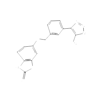 N#Cc1[nH]nnc1-c1cccc(COc2ccc3[nH]c(=O)sc3c2)c1